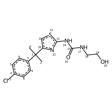 CC(C)(c1ccc(Cl)cc1)c1csc(NC(=O)NCCO)n1